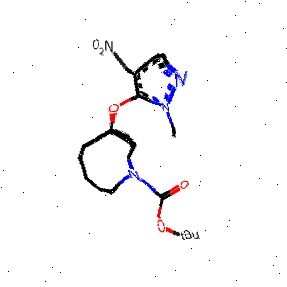 Cn1ncc([N+](=O)[O-])c1O[C@@H]1CCCN(C(=O)OC(C)(C)C)C1